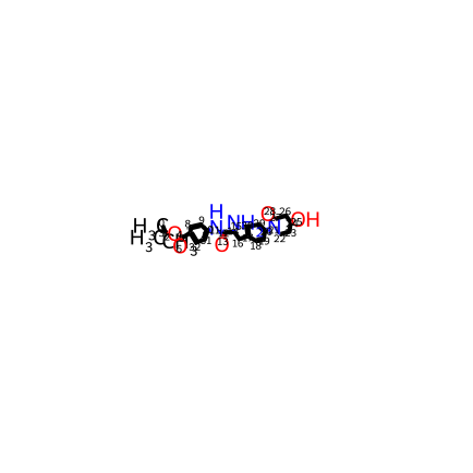 CC(C)(C)OC(=O)c1ccc(NC(=O)C(N)Cc2ccc(N3CCC(O)CC3=O)cc2)cc1